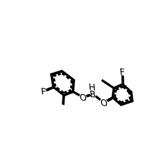 Cc1c(F)cccc1OBOc1cccc(F)c1C